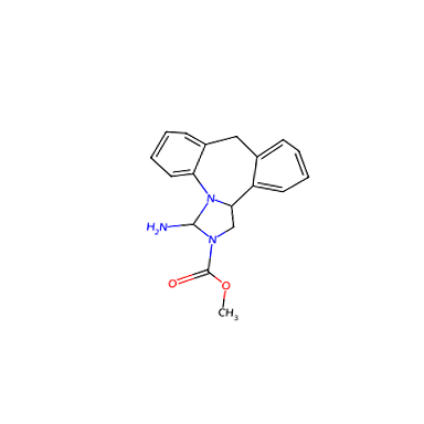 COC(=O)N1CC2c3ccccc3Cc3ccccc3N2C1N